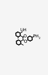 Cc1ccccc1C(Oc1ccc(P)cc1)C(=O)c1c(C)cccc1C.[LiH]